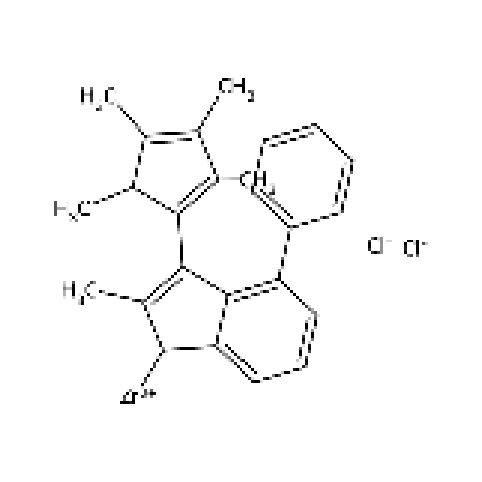 CC1=C(C)C(C)C(C2=C(C)[CH]([Zr+2])c3cccc(-c4ccccc4)c32)=C1C.[Cl-].[Cl-]